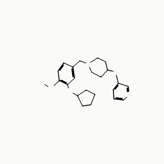 COc1ccc(CN2CCC(Nc3cccnc3)CC2)cc1OC1CCCC1